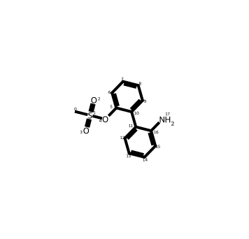 CS(=O)(=O)Oc1ccccc1-c1ccccc1N